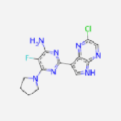 Nc1nc(-c2c[nH]c3ncc(Cl)nc23)nc(N2CCCC2)c1F